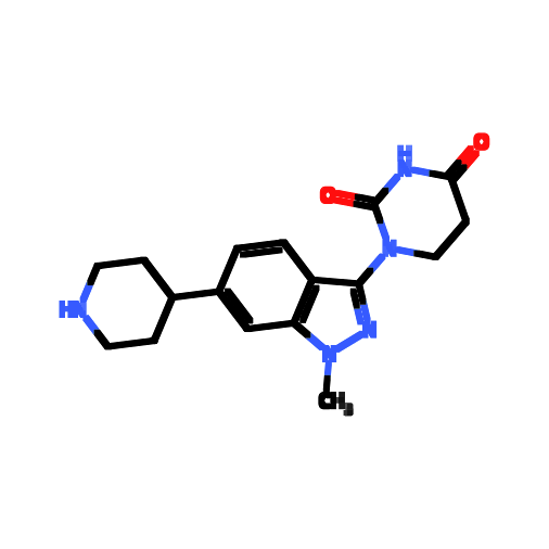 Cn1nc(N2CCC(=O)NC2=O)c2ccc(C3CCNCC3)cc21